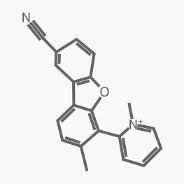 Cc1ccc2c(oc3ccc(C#N)cc32)c1-c1cccc[n+]1C